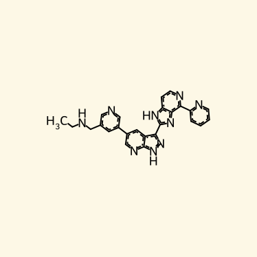 CCNCc1cncc(-c2cnc3[nH]nc(-c4nc5c(-c6ccccn6)nccc5[nH]4)c3c2)c1